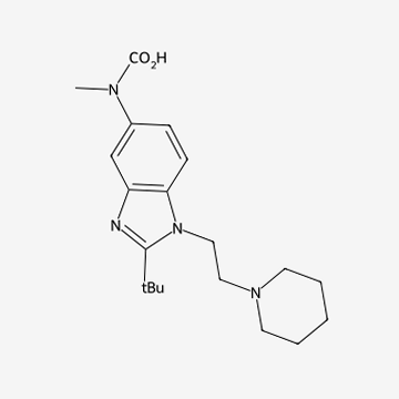 CN(C(=O)O)c1ccc2c(c1)nc(C(C)(C)C)n2CCN1CCCCC1